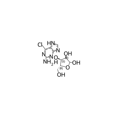 Nc1nc(Cl)c2[nH]cnc2n1.OC[C@H]1OC(O)[C@H](O)[C@@H]1O